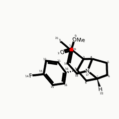 COC(=O)C1C2CC[C@H](C[C@@H]1c1ccc(F)cc1)N2C/C=C/I